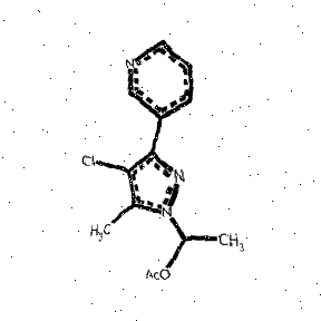 CC(=O)OC(C)n1nc(-c2cccnc2)c(Cl)c1C